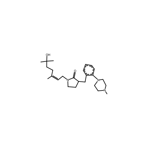 CC(=CCN1CCC(Cc2ccccc2N2CCN(C)CC2)C1=O)CCC(C)(C)O